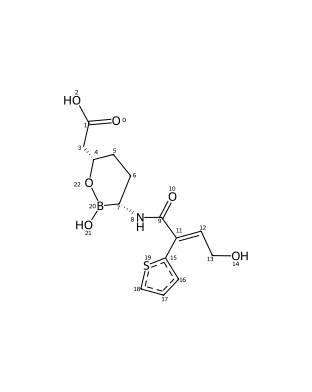 O=C(O)C[C@@H]1CC[C@H](NC(=O)/C(=C/CO)c2cccs2)B(O)O1